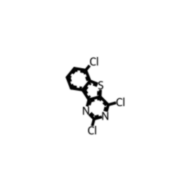 Clc1nc(Cl)c2sc3c(Cl)cccc3c2n1